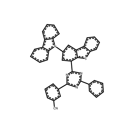 N#Cc1cccc(-c2nc(-c3ccccc3)nc(-c3cc(-n4c5ccccc5c5ccccc54)cc4c3sc3ccccc34)n2)c1